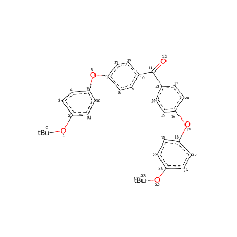 CC(C)(C)Oc1ccc(Oc2ccc(C(=O)c3ccc(Oc4ccc(OC(C)(C)C)cc4)cc3)cc2)cc1